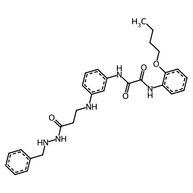 CCCCOc1ccccc1NC(=O)C(=O)Nc1cccc(NCCC(=O)NNCc2ccccc2)c1